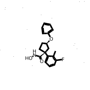 Cc1c(F)cccc1[C@]1(C(=O)NO)CC[C@@H](Oc2ccccc2)C1